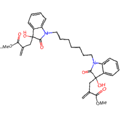 C=C(CC1(O)C(=O)N(CCCCCCCN2C(=O)C(O)(CC(=C)C(=O)OC)c3ccccc32)c2ccccc21)C(=O)OC